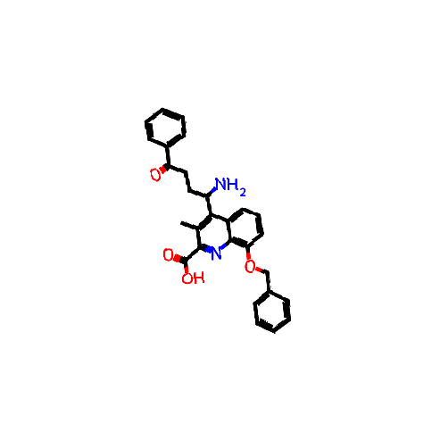 Cc1c(C(=O)O)nc2c(OCc3ccccc3)cccc2c1C(N)CCC(=O)c1ccccc1